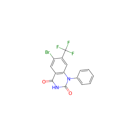 O=c1[nH]c(=O)n(-c2ccccc2)c2cc(C(F)(F)F)c(Br)cc12